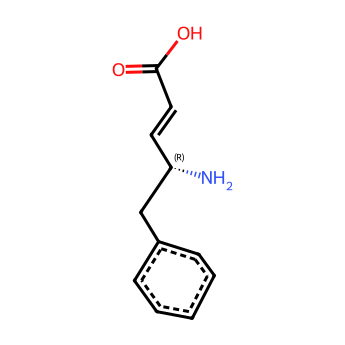 N[C@@H](C=CC(=O)O)Cc1ccccc1